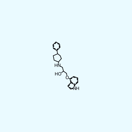 OC(CNC1CCC(c2ccccc2)CC1)COc1cccc2[nH]ccc12